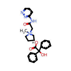 C[N+]1(CC(=O)Nc2cccnn2)CC[C@@H](OC(=O)C(O)(c2ccccc2)c2ccccc2)C1